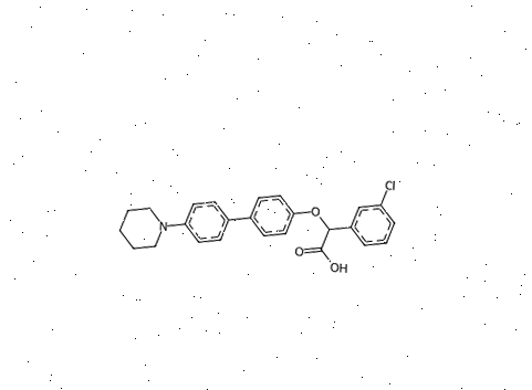 O=C(O)C(Oc1ccc(-c2ccc(N3CCCCC3)cc2)cc1)c1cccc(Cl)c1